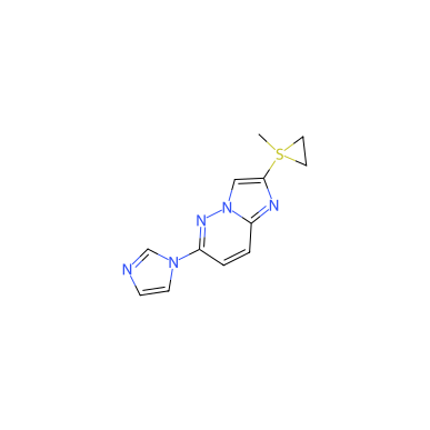 CS1(c2cn3nc(-n4ccnc4)ccc3n2)CC1